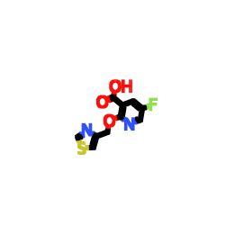 O=C(O)c1cc(F)cnc1OCc1cscn1